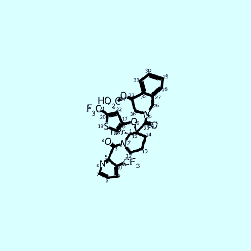 CCC[C@H]1N(C(=O)c2ncccc2C(F)(F)F)CCC[C@@]1(Oc1csc(C(F)(F)F)c1)C(=O)N1Cc2ccccc2C(OC(=O)O)C1